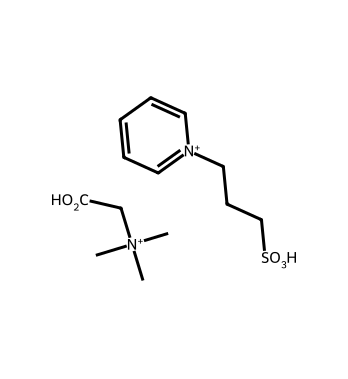 C[N+](C)(C)CC(=O)O.O=S(=O)(O)CCC[n+]1ccccc1